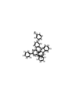 Fc1cccc(-c2ccc(-c3nc(-c4ccccc4)nc(-c4ccccc4)n3)c(-n3c4ccccc4c4ccccc43)c2)c1